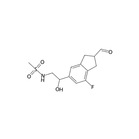 CS(=O)(=O)NCC(O)c1cc(F)c2c(c1)CC(C=O)C2